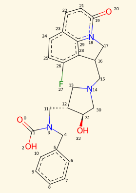 O=C(O)N(Cc1ccccc1)C[C@@H]1CN(CC2Cn3c(=O)ccc4ccc(F)c2c43)C[C@H]1O